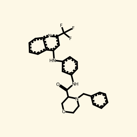 O=C(Nc1cccc(Nc2cc(C(F)(F)F)nc3ccccc23)c1)C1COCCN1Cc1ccccc1